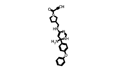 C#CC(=O)N1CCC(CNC2=CC(N)(c3ccc(Oc4ccccc4)cc3)NC=N2)C1